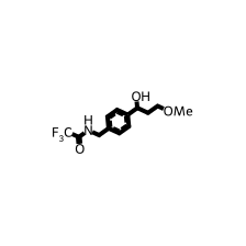 COCCC(O)c1ccc(CNC(=O)C(F)(F)F)cc1